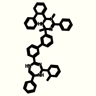 CC1C=CC=CC1C1N=C(c2cccc(-c3cccc(C4(C)N=C(c5ccccc5)N(C)C(C5=CC=CCC5c5ccccc5)N4)c3)c2)NC=C(c2ccccc2)N1